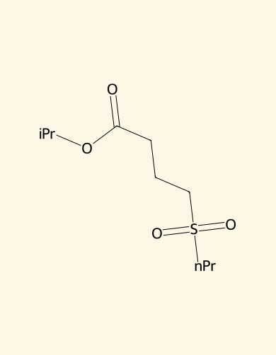 CCCS(=O)(=O)CCCC(=O)OC(C)C